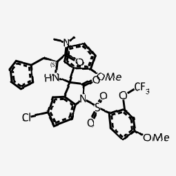 COc1ccc(S(=O)(=O)N2C(=O)C(N[C@@H](Cc3ccccc3)C(=O)N(C)C)(c3ccccc3OC)c3cc(Cl)ccc32)c(OC(F)(F)F)c1